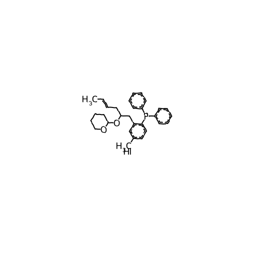 C/C=C/CC(Cc1cc(C)ccc1P(c1ccccc1)c1ccccc1)OC1CCCCO1.I